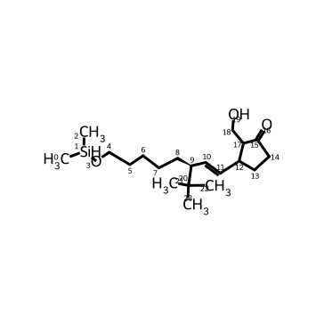 C[SiH](C)OCCCCC[C@@H](C=CC1CCC(=O)C1CO)C(C)(C)C